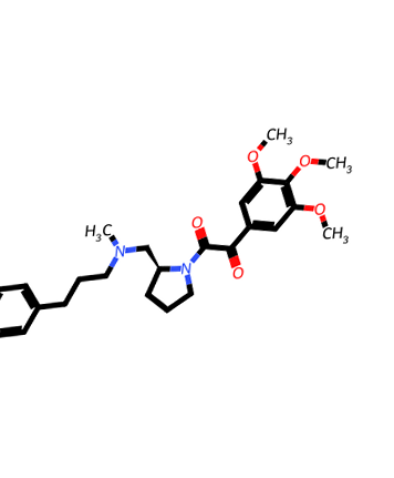 COc1cc(C(=O)C(=O)N2CCC[C@H]2CN(C)CCCc2ccccc2)cc(OC)c1OC